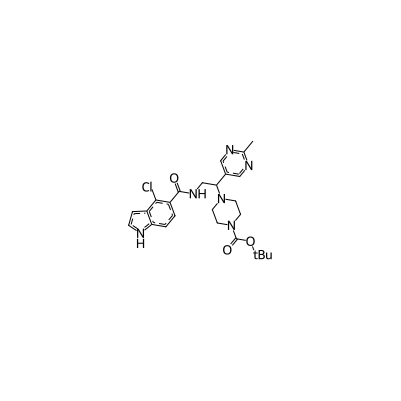 Cc1ncc(C(CNC(=O)c2ccc3[nH]ccc3c2Cl)N2CCN(C(=O)OC(C)(C)C)CC2)cn1